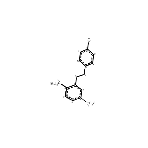 O=C(O)c1ccc(C(=O)O)c(CCc2ccc(Br)cc2)c1